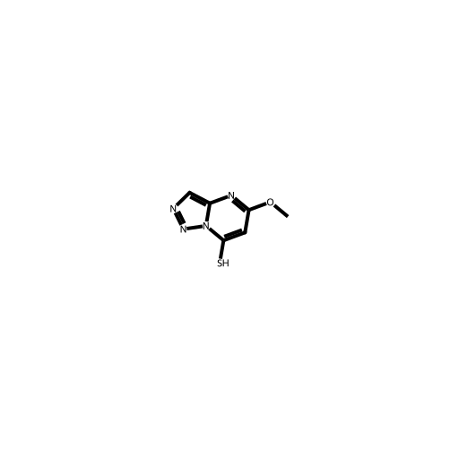 COc1cc(S)n2nncc2n1